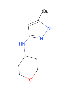 CC(C)(C)c1cc(NC2CCOCC2)n[nH]1